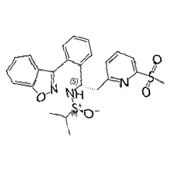 CC(C)[S@+]([O-])N[C@@H](Cc1cccc(S(C)(=O)=O)n1)c1ccccc1-c1noc2ccccc12